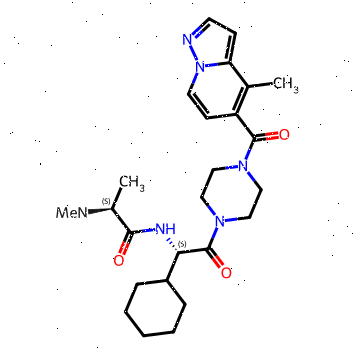 CN[C@@H](C)C(=O)N[C@H](C(=O)N1CCN(C(=O)c2ccn3nccc3c2C)CC1)C1CCCCC1